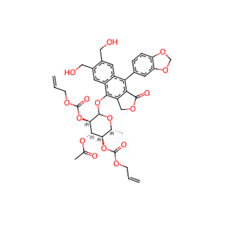 C=CCOC(=O)O[C@H]1[C@H](OC(C)=O)[C@@H](OC(=O)OCC=C)C(Oc2c3c(c(-c4ccc5c(c4)OCO5)c4cc(CO)c(CO)cc24)C(=O)OC3)O[C@@H]1C